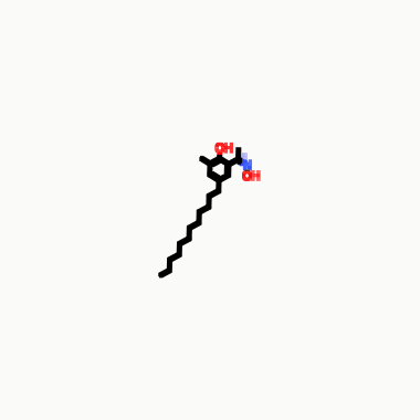 CCCCCCCCCCCCc1cc(C)c(O)c(/C(C)=N\O)c1